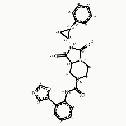 O=C(Nc1ccccc1-c1cnco1)N1CCN2C(=O)N([C@@H]3C[C@H]3c3ccccc3)C(=O)C2C1